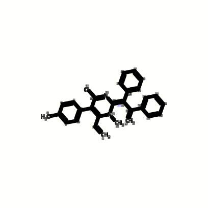 C=CC1=C(c2ccc(C)cc2)C(Cl)=N/C(=C(/C(=C)c2ccccc2)c2ccccc2)N1C